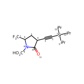 CC(C)[Si](C#CC1CC(C(F)(F)F)N(C(=O)O)C1=O)(C(C)C)C(C)C